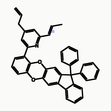 C=CCc1cc(/C=C/C)nc(-c2cccc3c2Oc2cc4c(cc2O3)-c2ccccc2C4(c2ccccc2)c2ccccc2)c1